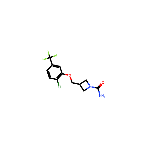 NC(=O)N1CC(COc2cc(C(F)(F)F)ccc2Cl)C1